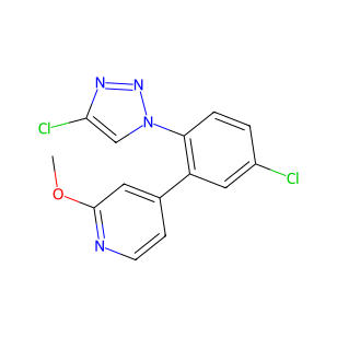 COc1cc(-c2cc(Cl)ccc2-n2cc(Cl)nn2)ccn1